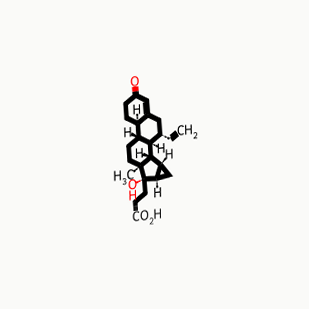 C=C[C@H]1CC2=CC(=O)CC[C@@H]2[C@H]2CC[C@@]3(C)[C@@H]([C@H]4C[C@H]4[C@@]3(O)CCC(=O)O)[C@@H]21